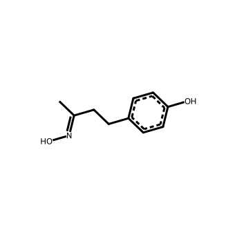 CC(CCc1ccc(O)cc1)=NO